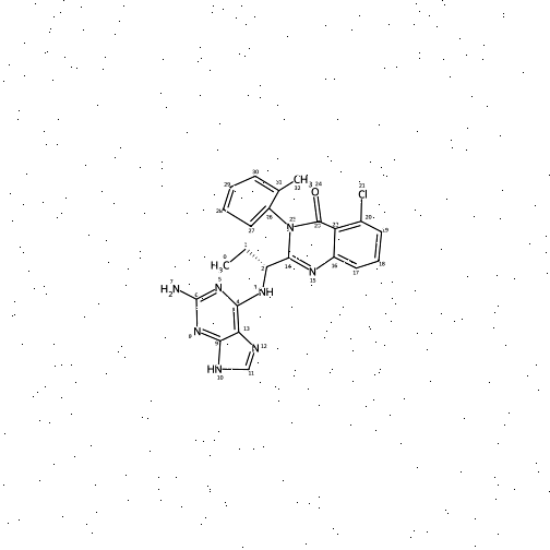 CC[C@@H](Nc1nc(N)nc2[nH]cnc12)c1nc2cccc(Cl)c2c(=O)n1-c1ccccc1C